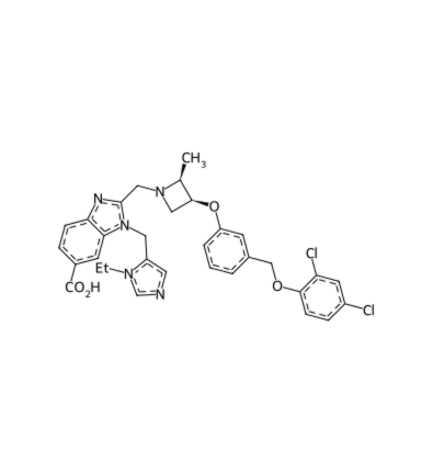 CCn1cncc1Cn1c(CN2C[C@H](Oc3cccc(COc4ccc(Cl)cc4Cl)c3)[C@@H]2C)nc2ccc(C(=O)O)cc21